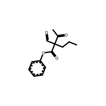 CCCC(C=O)(C(C)=O)C(=O)Oc1ccccc1